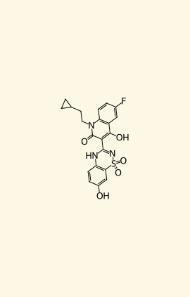 O=c1c(C2=NS(=O)(=O)c3cc(O)ccc3N2)c(O)c2cc(F)ccc2n1CCC1CC1